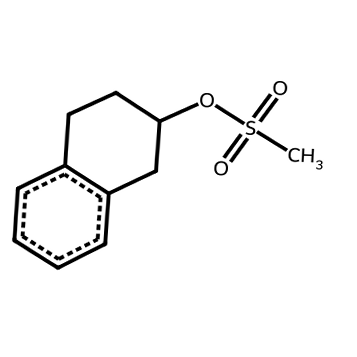 CS(=O)(=O)OC1CCc2ccccc2C1